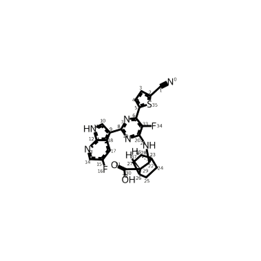 N#Cc1ccc(-c2nc(-c3c[nH]c4ncc(F)cc34)nc(N[C@H]3C4CCC(CC4)[C@@H]3C(=O)O)c2F)s1